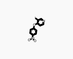 O=[N+]([O-])c1ccc(Oc2ccncc2I)cc1